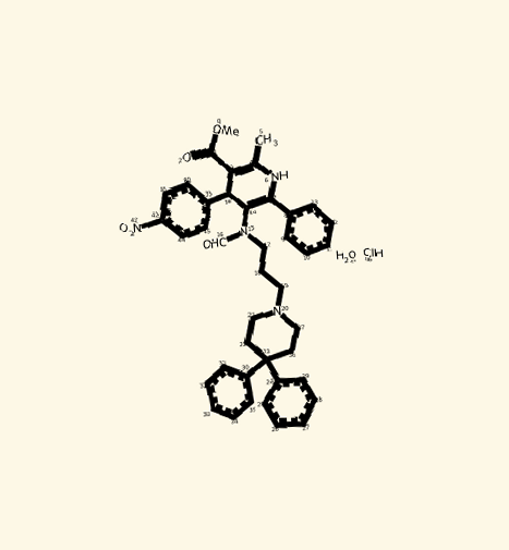 COC(=O)C1=C(C)NC(c2ccccc2)=C(N(C=O)CCCN2CCC(c3ccccc3)(c3ccccc3)CC2)C1c1ccc([N+](=O)[O-])cc1.Cl.O